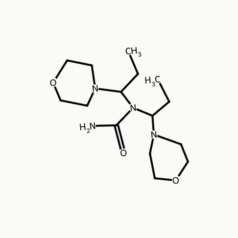 CCC(N1CCOCC1)N(C(N)=O)C(CC)N1CCOCC1